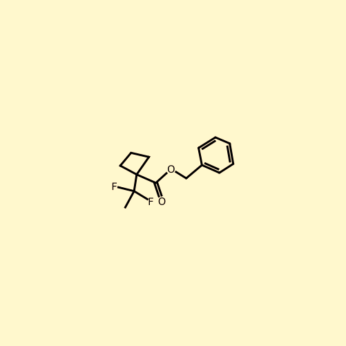 CC(F)(F)C1(C(=O)OCc2ccccc2)CCC1